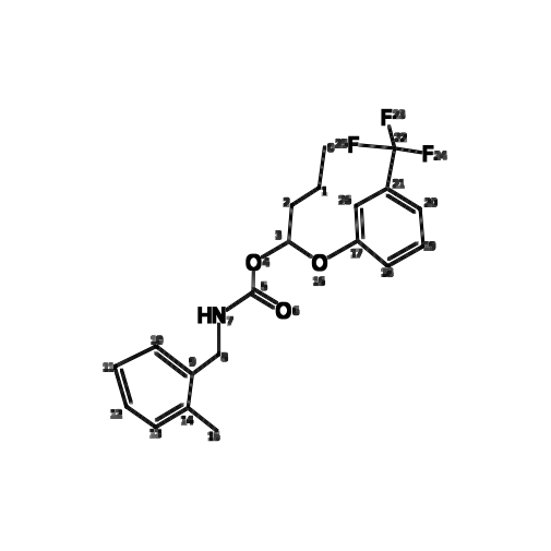 CCCC(OC(=O)NCc1ccccc1C)Oc1cccc(C(F)(F)F)c1